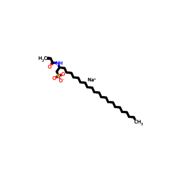 C=CC(=O)NC(CCCCCCCCCCCCCCCCCCCCCC)CS(=O)(=O)[O-].[Na+]